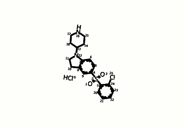 Cl.O=S(=O)(c1ccc2c(c1)CCN2C1CCNCC1)c1ccccc1Cl